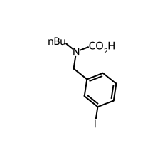 CCCCN(Cc1cccc(I)c1)C(=O)O